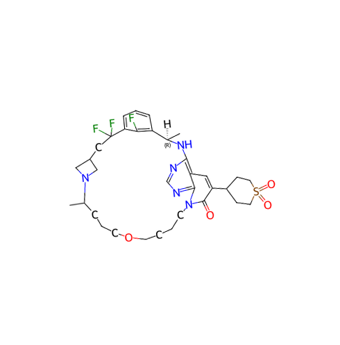 CC1CCCOCCCCn2c(=O)c(C3CCS(=O)(=O)CC3)cc3c(ncnc32)N[C@H](C)c2cccc(c2F)C(F)(F)CC2CN1C2